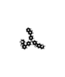 c1ccc2cc(-c3ccc(N(c4ccc(-c5cccc6oc7ncccc7c56)cc4)c4ccc5c(c4)oc4cc6cccnc6cc45)cc3)ccc2c1